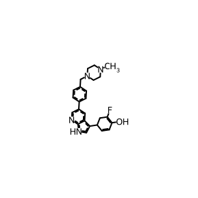 CN1CCN(Cc2ccc(-c3cnc4[nH]cc(C5C=CC(O)=C(F)C5)c4c3)cc2)CC1